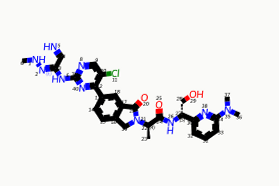 CN/N=C(\C=N)Nc1ncc(Cl)c(-c2ccc3c(c2)C(=O)N([C@H](C)C(=O)N[C@H](CO)c2cccc(N(C)C)n2)C3)n1